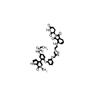 CCS(=O)(=O)Nc1ccc(Oc2cccc(OCc3cn(CCNc4cccc5c4C(=O)N(C4CCC(=O)NC4=O)C5=O)nn3)c2)c(-c2cn(C)c(=O)c3[nH]ccc23)c1